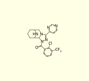 O=C(c1cccc(C(F)(F)F)c1Cl)N1N=C(c2ccncn2)N2CC3CCCC(N3)C21